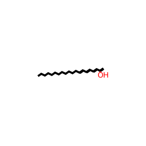 C=C(O)C=CC=CC=CCCCCCCCCCCCC